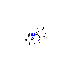 C1CCC2NC3(CCC3)CN=C2C1